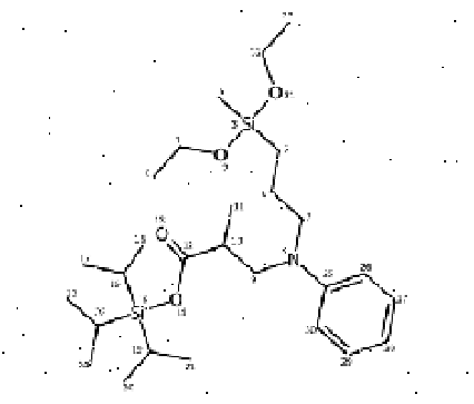 CCO[Si](C)(CCCN(CC(C)C(=O)O[Si](C(C)C)(C(C)C)C(C)C)c1ccccc1)OCC